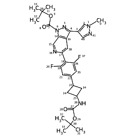 Cn1cc(-c2nn(C(=O)OC(C)(C)C)c3cnc(-c4c(F)cc(C5CC(NC(=O)OC(C)(C)C)C5)cc4F)cc23)cn1